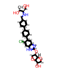 C[C@@H](O)[C@@H](CO)NCc1ccc(-c2ccc(-c3cc4nc(O[C@@H]5COC6[C@H](O)CO[C@@H]65)[nH]c4cc3Cl)cc2)cc1